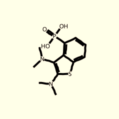 CN(C)c1sc2cccc(P(=O)(O)O)c2c1N(C)C